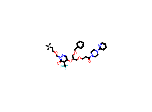 C[Si](C)(C)CCOCn1ncc(OC(COCCC(=O)N2CCN(c3ccccn3)CC2)COCc2ccccc2)c(C(F)(F)F)c1=O